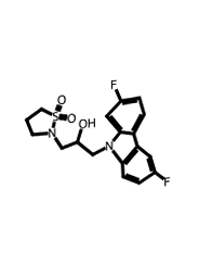 O=S1(=O)CCCN1CC(O)Cn1c2ccc(F)cc2c2ccc(F)cc21